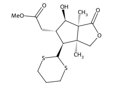 COC(=O)C[C@@H]1[C@@H](O)[C@@]2(C)C(=O)OC[C@@]2(C)[C@H]1C1SCCCS1